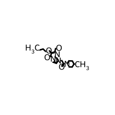 CCCCOc1c(C=O)nc2n(CC(=O)N3CCC(C)CC3)ccn2c1=O